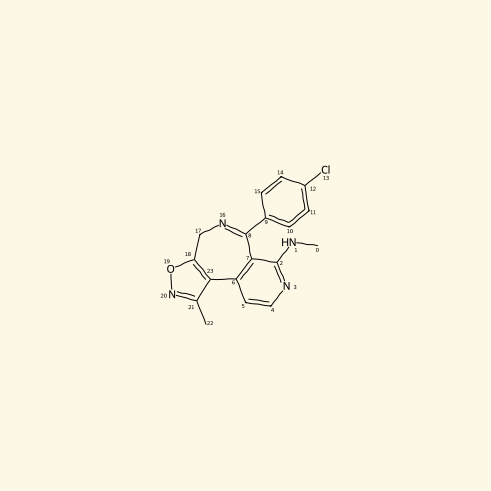 CNc1nccc2c1C(C1=C=C=C(Cl)C=C1)=NCc1onc(C)c1-2